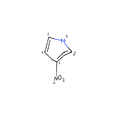 O=[N+]([O-])C1=C[N]C=C1